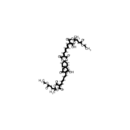 CCOC(=O)CCC1(C)OC(=O)C(=C/C=C/C=C/C2=C(O)CC3(CCC4(CC3)OC(=O)C(=C/C=C/C=C/C3=C(O)OC(C)(CCC(=O)OCC)OC3=O)C(=O)O4)CC2=O)C(=O)O1